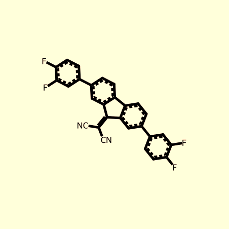 N#CC(C#N)=C1c2cc(-c3ccc(F)c(F)c3)ccc2-c2ccc(-c3ccc(F)c(F)c3)cc21